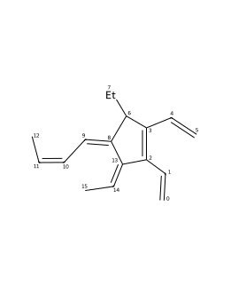 C=CC1=C(C=C)C(CC)C(=C/C=C\C)/C1=C\C